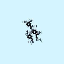 NCCc1c[nH]c2ccc(O)cc12.NCCc1ccc(O)c(O)c1.NC[C@H](O)c1ccc(O)c(O)c1